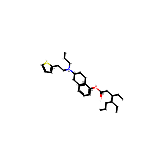 CCCC(CC)C(CC)CC(=O)Oc1cccc2c1CCC(N(CCC)CCc1cccs1)C2